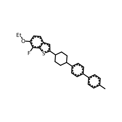 CCOc1ccc2cc(C3CCC(c4ccc(-c5ccc(C)cc5)cc4)CC3)sc2c1F